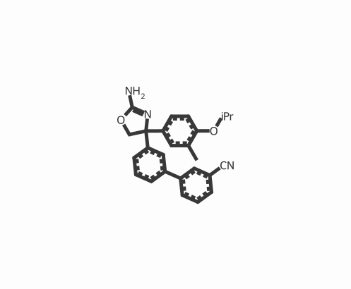 Cc1cc(C2(c3cccc(-c4cccc(C#N)c4)c3)COC(N)=N2)ccc1OC(C)C